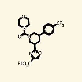 CCOC(=O)c1coc(C2CC(c3ccc(C(F)(F)F)cc3)CN(C(=O)N3CCOCC3)C2)n1